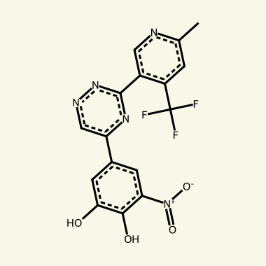 Cc1cc(C(F)(F)F)c(-c2nncc(-c3cc(O)c(O)c([N+](=O)[O-])c3)n2)cn1